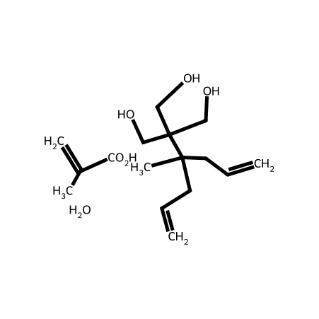 C=C(C)C(=O)O.C=CCC(C)(CC=C)C(CO)(CO)CO.O